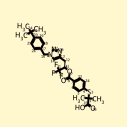 CC(C)(Sc1ccc(C(=O)O[C@H](Cc2cn(Cc3ccc(C(C)(C)C)cc3)nn2)C(F)(F)F)cc1)C(=O)O